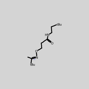 C/C(=N\OCCC(=O)NCCC(C)(C)C)C(C)(C)C